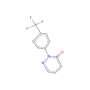 O=c1cccnn1-c1ccc(C(F)(F)F)cc1